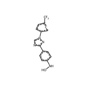 ONc1ccc(-c2ncn(-c3ccc(C(F)(F)F)cc3)n2)cc1